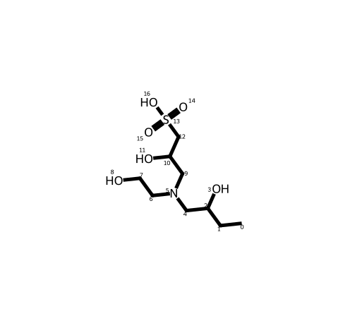 CCC(O)CN(CCO)CC(O)CS(=O)(=O)O